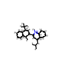 Cc1c(-c2cc(CC(C)C)c3ccccc3[n+]2C)cc(C(C)(C)C)c2ccccc12